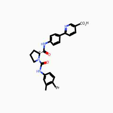 Cc1cc(NC(=O)N2CCC[C@@H]2C(=O)Nc2ccc(-c3ccc(C(=O)O)cn3)cc2)ccc1C(C)C